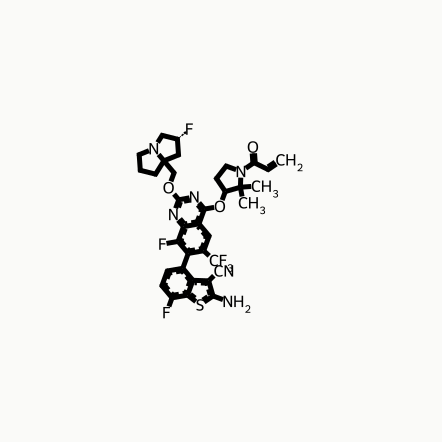 C=CC(=O)N1CCC(Oc2nc(OCC34CCCN3C[C@H](F)C4)nc3c(F)c(-c4ccc(F)c5sc(N)c(C#N)c45)c(C(F)(F)F)cc23)C1(C)C